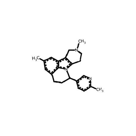 Cc1cc2c3c(c1)c1c(n3C(c3ccc(C)nc3)CC2)CCN(C)C1